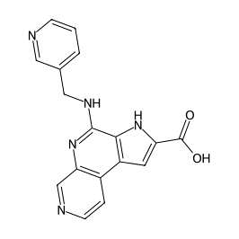 O=C(O)c1cc2c([nH]1)c(NCc1cccnc1)nc1cnccc12